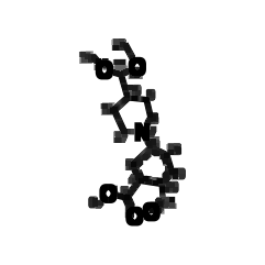 COC(=O)c1cc(N2CCC(C(OC)OC)CC2)ccc1C=O